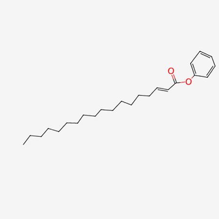 CCCCCCCCCCCCCCC/C=C/C(=O)Oc1ccccc1